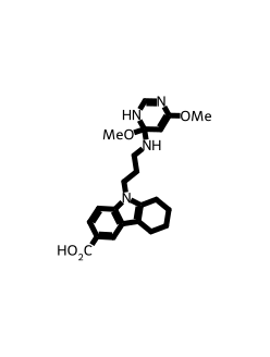 COC1=CC(NCCCn2c3c(c4cc(C(=O)O)ccc42)CCCC3)(OC)NC=N1